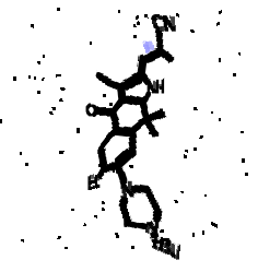 CCc1cc2c(cc1N1CCN(C(C)(C)C)CC1)C(C)(C)c1[nH]c(/C=C(\C)C#N)c(C)c1C2=O